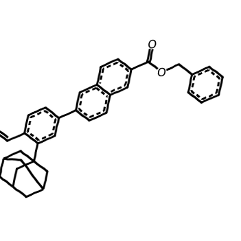 C=Cc1ccc(-c2ccc3cc(C(=O)OCc4ccccc4)ccc3c2)cc1C12CC3CC(CC(C3)C1)C2